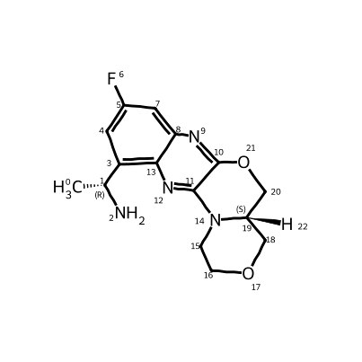 C[C@@H](N)c1cc(F)cc2nc3c(nc12)N1CCOC[C@H]1CO3